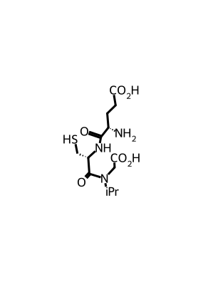 CC(C)N(CC(=O)O)C(=O)[C@H](CS)NC(=O)[C@@H](N)CCC(=O)O